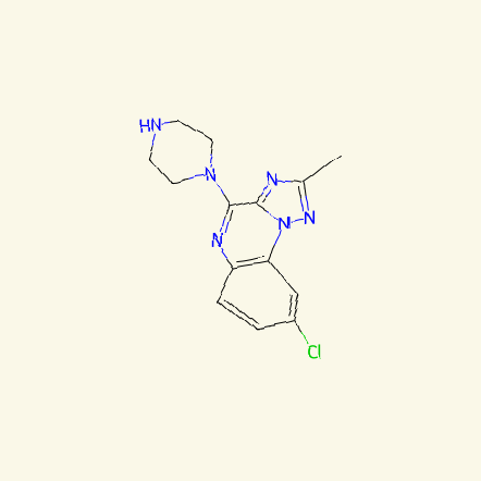 Cc1nc2c(N3CCNCC3)nc3ccc(Cl)cc3n2n1